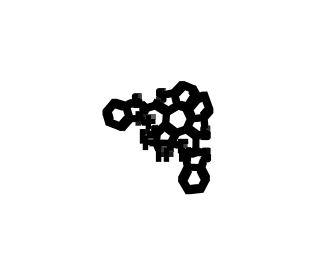 FC1(F)C(c2c(-c3nc4ccccc4s3)sc3ccccc23)=C(c2c(-c3nc4ccccc4s3)sc3ccccc23)C(F)(F)C1(F)F